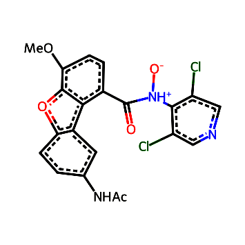 COc1ccc(C(=O)[NH+]([O-])c2c(Cl)cncc2Cl)c2c1oc1ccc(NC(C)=O)cc12